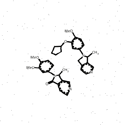 COc1ccc(N2C(=O)c3ccncc3C2C)cc1OC.COc1ccc(N2Cc3ccncc3C2C)cc1OC1CCCC1